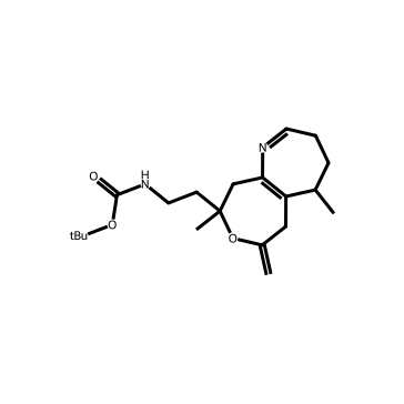 C=C1CC2=C(CC(C)(CCNC(=O)OC(C)(C)C)O1)N=CCCC2C